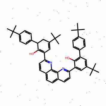 CC(C)(C)C1=CC(c2ccc3ccc4ccc(-c5cc(C(C)(C)C)cc(-c6ccc(C(C)(C)C)cc6)c5O)nc4c3n2)=C(O)C(c2ccc(C(C)(C)C)cc2)C1